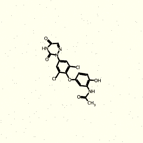 CC(=O)Nc1cc(Oc2c(Cl)cc(-n3ncc(=O)[nH]c3=O)cc2Cl)ccc1O